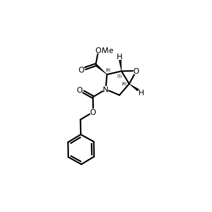 COC(=O)[C@H]1[C@@H]2O[C@@H]2CN1C(=O)OCc1ccccc1